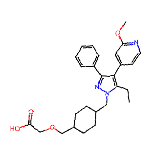 CCc1c(-c2ccnc(OC)c2)c(-c2ccccc2)nn1CC1CCC(COCC(=O)O)CC1